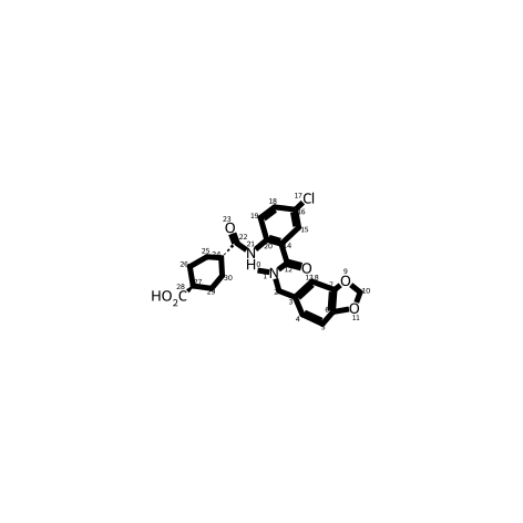 CN(Cc1ccc2c(c1)OCO2)C(=O)c1cc(Cl)ccc1NC(=O)[C@H]1CC[C@H](C(=O)O)CC1